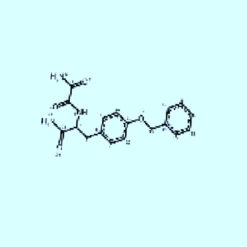 NC(=O)C(=O)NC(Cc1ccc(OCc2ccccc2)cc1)C(N)=O